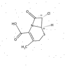 CC1=C(C(=O)O)N2C(=O)[C@H](Cl)[C@H]2SC1